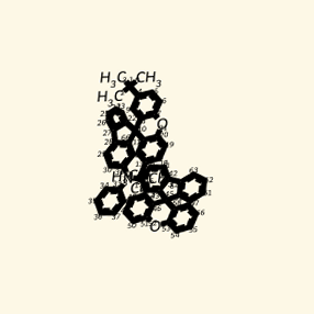 CC(C)(C)c1ccc2c(c1)C1(c3cc(C(C)(C)C)ccc3O2)c2ccccc2-c2ccc(N(c3ccccc3)c3ccc4c(c3)C3(c5ccccc5Oc5ccccc53)c3ccccc3-4)cc21